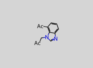 CC(=O)Cn1cnc2cccc(C(C)=O)c21